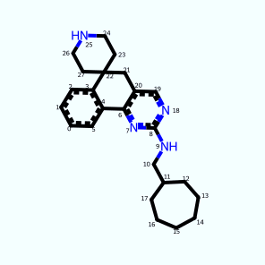 c1ccc2c(c1)-c1nc(NCC3CCCCCC3)ncc1CC21CCNCC1